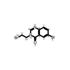 O=c1c2cc(Br)ccc2ncn1CCBr